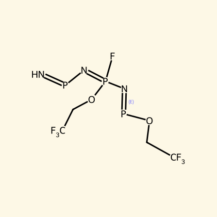 N=PN=P(F)(/N=P/OCC(F)(F)F)OCC(F)(F)F